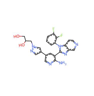 Nc1ncc(-c2cnn(CC(O)CO)c2)cc1-c1nc2cnccc2n1-c1cccc(F)c1F